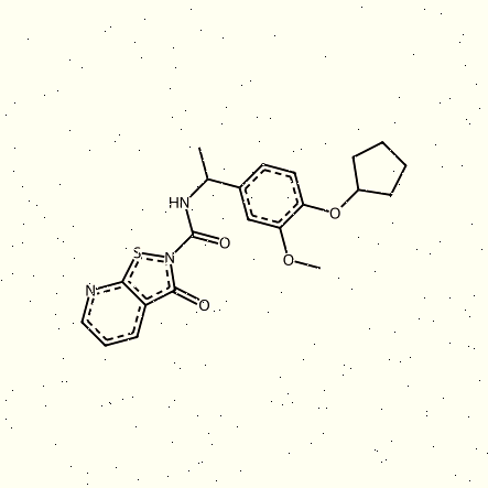 COc1cc(C(C)NC(=O)n2sc3ncccc3c2=O)ccc1OC1CCCC1